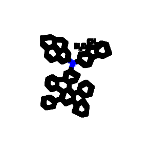 CC1(C)c2ccccc2-c2ccc(N(c3cc4ccc5cccc6ccc(c3)c4c56)c3ccc4c(c3)c3ccccc3c3c(C5=CC=CCC5)cc(-c5ccccc5)c(-c5ccccc5)c43)cc21